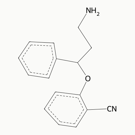 N#Cc1ccccc1OC(CCN)c1ccccc1